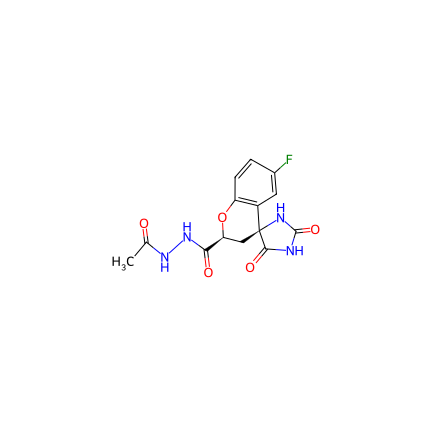 CC(=O)NNC(=O)[C@@H]1C[C@]2(NC(=O)NC2=O)c2cc(F)ccc2O1